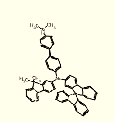 C[SiH](C)c1ccc(-c2ccc(N(c3ccc4c(c3)C(C)(C)c3ccccc3-4)c3ccc4c(c3)C3(c5ccccc5-c5ccccc53)c3ccccc3-4)cc2)cc1